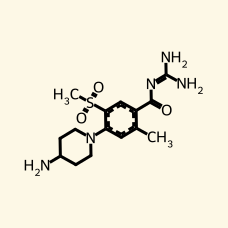 Cc1cc(N2CCC(N)CC2)c(S(C)(=O)=O)cc1C(=O)N=C(N)N